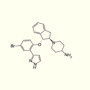 NC1CCN([C@@H]2Cc3ccccc3[C@H]2Oc2ccc(Br)cc2-c2cc[nH]n2)CC1